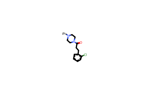 CC(C)N1CCN(C(=O)CCc2ccccc2Cl)CC1